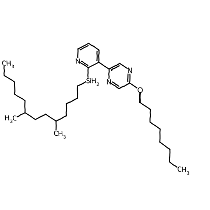 CCCCCCCCOc1cnc(-c2cccnc2[SiH2]CCCCC(C)CCC(C)CCCCC)cn1